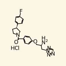 Cl.N[C@H](COc1ccc(C(=O)N2CC[C@@H](c3ccc(F)cc3)C2)cc1)Cn1ncnn1